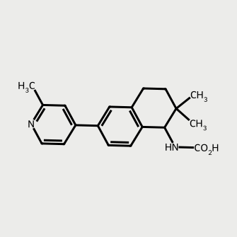 Cc1cc(-c2ccc3c(c2)CCC(C)(C)C3NC(=O)O)ccn1